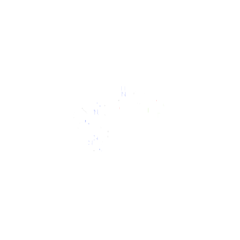 Cc1cccc(-n2nc(CC(=O)Nc3ccc(OC(F)(F)F)cc3)cc2-c2ccc3ncnn3c2)n1